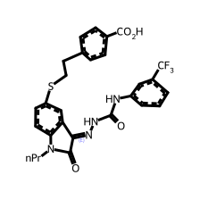 CCCN1C(=O)/C(=N/NC(=O)Nc2cccc(C(F)(F)F)c2)c2cc(SCCc3ccc(C(=O)O)cc3)ccc21